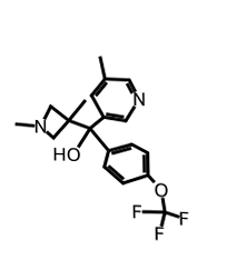 Cc1cncc(C(O)(c2ccc(OC(F)(F)F)cc2)C2(C)CN(C)C2)c1